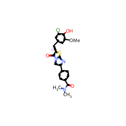 COc1cc(/C=c2\sc3nc(-c4ccc(C(=O)N(C)C)cc4)cn3c2=O)cc(Cl)c1O